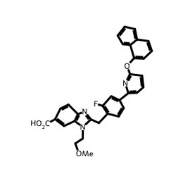 COCCn1c(Cc2ccc(-c3cccc(Oc4cccc5ccccc45)n3)cc2F)nc2ccc(C(=O)O)cc21